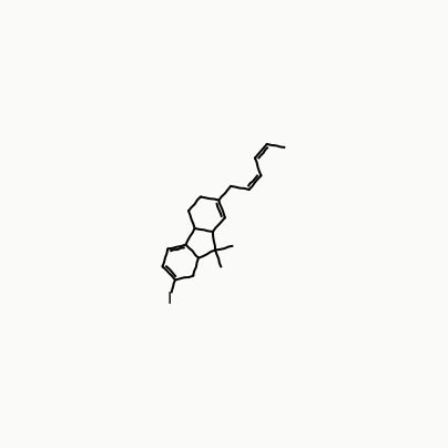 C/C=C\C=C/CC1=CC2C(CC1)C1=CC=C(I)CC1C2(C)C